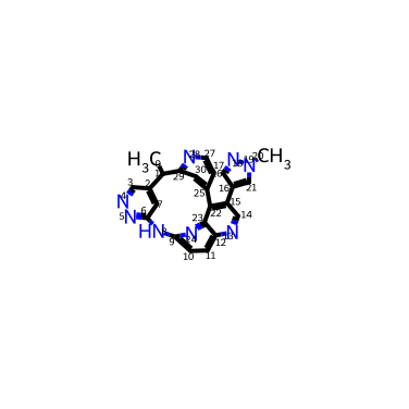 CC1c2cnnc(c2)Nc2ccc3ncc(-c4cnn(C)c4)c(c3n2)-c2ccnc1c2